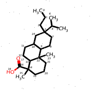 CCCC1(C(C)C)CCC2C(CCC3C(C)(C(=O)O)CCCC23C)C1